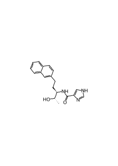 C[C@H](O)[C@@H](CCc1ccc2ccccc2c1)NC(=O)c1c[nH]cn1